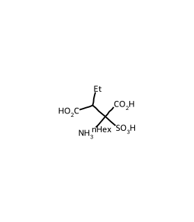 CCCCCCC(C(=O)O)(C(CC)C(=O)O)S(=O)(=O)O.N